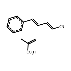 C=C(C)C(=O)O.N#CC=CC=Cc1ccccc1